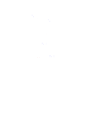 CCCCCCCCNC(=O)Nc1cccc(CN)c1S(=O)(=O)N1CCCCC1